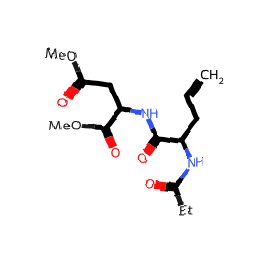 C=CCC(NC(=O)CC)C(=O)NC(CC(=O)OC)C(=O)OC